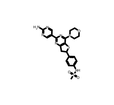 CS(=O)(=O)Nc1ccc(C2Cc3nc(-c4cnc(N)nc4)nc(N4CCOCC4)c3S2)cc1